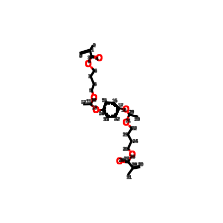 C=C(C)C(=O)OCCCCOC(C)Oc1ccc(OC(C)OCCCCOC(=O)C(=C)C)cc1